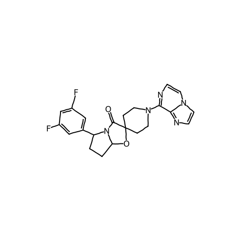 O=C1N2C(CCC2c2cc(F)cc(F)c2)OC12CCN(c1nccn3ccnc13)CC2